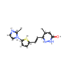 Cc1cc(=O)[nH]nc1C=Cc1ccc(-n2ccnc2C)s1